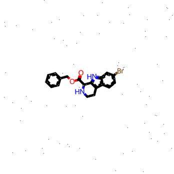 O=C(OCc1ccccc1)C1NCCc2c1[nH]c1cc(Br)ccc21